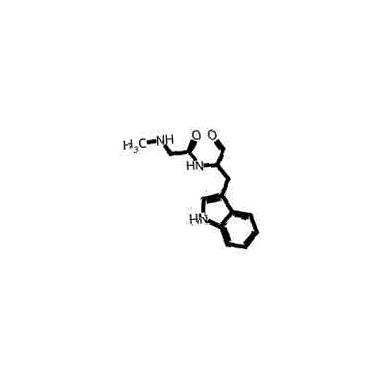 CNCC(=O)NC(C=O)Cc1c[nH]c2ccccc12